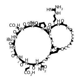 CCCC[C@@H]1NC(=O)[C@@H]2CCCN2C(=O)[C@@H]2CSCc3cc(cc(c3)OCCCCCCO/N=C/C(=O)N[C@@H](CCCNC(=N)N)C(=O)N2)CSC[C@@H](C(N)=O)NC(=O)[C@H](CCC(=O)O)NC(=O)[C@H](C)NC(=O)[C@H](C)NC(=O)[C@H]([C@@H](C)CC)NC(=O)[C@H](CC(=O)O)NC1=O